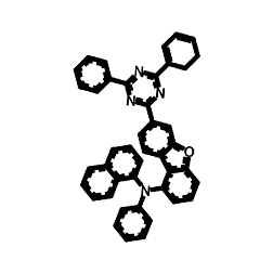 C1=CCCC(c2nc(-c3ccccc3)nc(-c3ccc4c(c3)oc3cccc(N(c5ccccc5)c5cccc6ccccc56)c34)n2)=C1